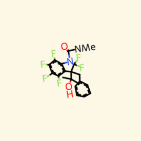 CNC(=O)N1c2c(F)c(F)c(F)c(F)c2C(Cc2ccccc2)(C(C)(C)O)C1(F)F